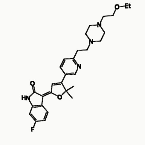 CCOCCN1CCN(CCc2ccc(C3=C/C(=C4\C(=O)Nc5cc(F)ccc54)OC3(C)C)cn2)CC1